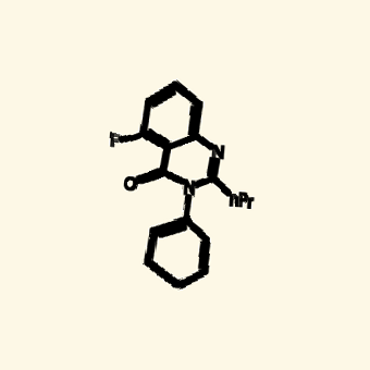 CCCc1nc2cccc(F)c2c(=O)n1C1=CCCC=C1